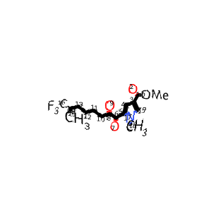 COC(=O)c1cc(C(=O)C(=O)CCCC[C@@H](C)C(F)(F)F)n(C)c1